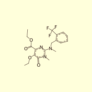 CCOC(=O)c1nc(N(C)Cc2ccccc2C(F)(F)F)n(C)c(=O)c1OCC